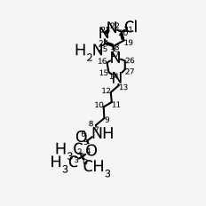 CC(C)(C)OC(=O)NCCCCCCN1CCN(c2cc(Cl)nnc2N)CC1